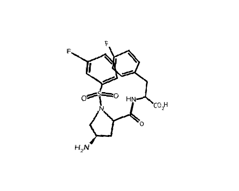 N[C@@H]1CC(C(=O)NC(Cc2ccc(F)cc2)C(=O)O)N(S(=O)(=O)c2cccc(F)c2)C1